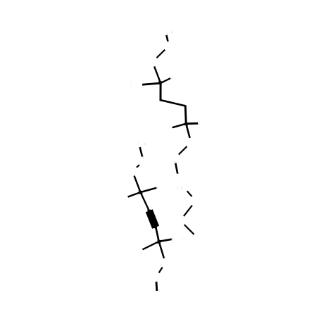 CC(C)(C)OOC(C)(C)C.CC(C)(C)OOC(C)(C)C#CC(C)(C)OOC(C)(C)C.CC(C)(C)OOC(C)(C)CCC(C)(C)OOC(C)(C)C